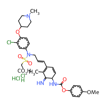 COc1ccc(OC(=O)NC2C=CC(/C=C/CN(c3ccc(OC4CCN(C)CC4)c(Cl)c3)S(=O)(=O)CC(=O)O)=C(C)C2=N)cc1.Cl.Cl